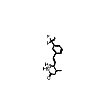 CC1CC(=O)NNC1/C=C/c1cccc(C(F)(F)F)c1